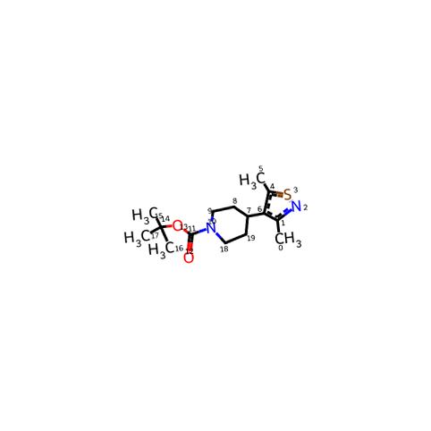 Cc1nsc(C)c1C1CCN(C(=O)OC(C)(C)C)CC1